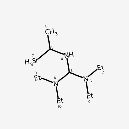 CCN(CC)C(NC(C)[SiH3])N(CC)CC